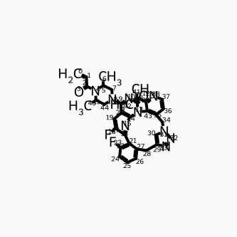 C=CC(=O)N1C(C)CN(c2nc(=O)n3c4nc(c(F)cc24)-c2c(F)cccc2Cc2cn(nn2)Cc2ccnc(C(C)C)c2-3)CC1C